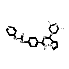 C[C@@H]1CN(/C(=N/C(=N)c2ccc(NC(=S)Nc3ccncc3)cc2)c2ccc[nH]2)C[C@H](C)O1